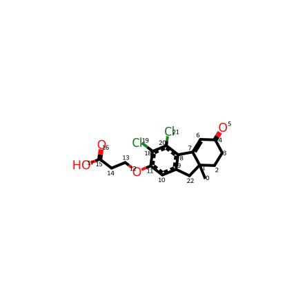 CC12CCC(=O)C=C1c1c(cc(OCCC(=O)O)c(Cl)c1Cl)C2